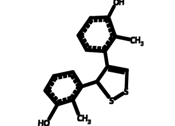 Cc1c(O)cccc1C1=CSSC1c1cccc(O)c1C